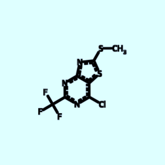 CSc1nc2nc(C(F)(F)F)nc(Cl)c2s1